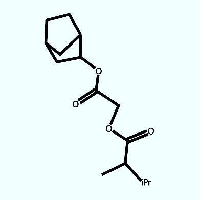 CC(C)C(C)C(=O)OCC(=O)OC1CC2CCC1C2